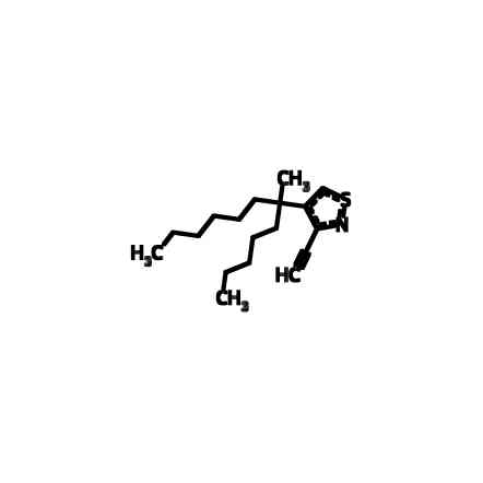 C#Cc1nscc1C(C)(CCCCC)CCCCCC